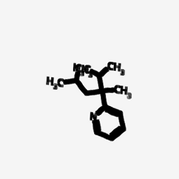 CC(C)CC(C)(c1ccccn1)C(C)C